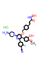 COc1ccc(-c2c(OCc3ccc(/C=C/C(=O)NO)cc3)cc(N3CCC(N)CC3)nc2-c2ccc(C#N)c(F)c2)cc1O.Cl